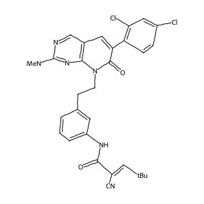 CNc1ncc2cc(-c3ccc(Cl)cc3Cl)c(=O)n(CCc3cccc(NC(=O)C(C#N)=CC(C)(C)C)c3)c2n1